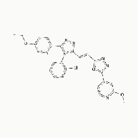 CCOc1ccc(-c2nnc(/C=C/c3nnc(-c4ccnc(OC)c4)o3)n2-c2ccccc2Cl)nc1